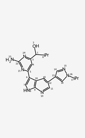 CC(C)C(O)c1cc(-c2c[nH]c3ncc(-c4cnn(C(C)C)c4)cc23)nc(N)n1